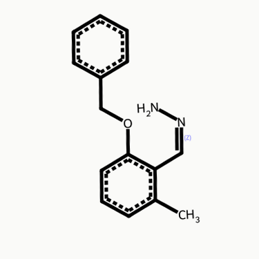 Cc1cccc(OCc2ccccc2)c1/C=N\N